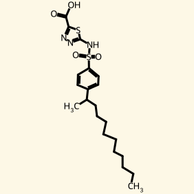 CCCCCCCCCCC(C)c1ccc(S(=O)(=O)Nc2nnc(C(=O)O)s2)cc1